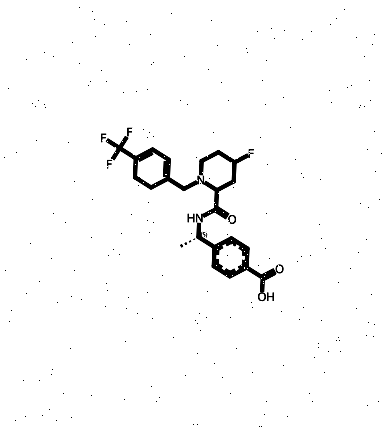 C[C@H](NC(=O)C1CC(F)CCN1CC1=CC=C(C(F)(F)F)CC1)c1ccc(C(=O)O)cc1